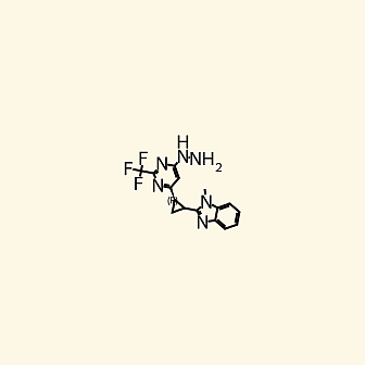 Cn1c(C2C[C@H]2c2cc(NN)nc(C(F)(F)F)n2)nc2ccccc21